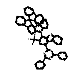 FC(F)(F)c1cc(-c2nc(-c3ccccc3)nc(-c3ccccc3)n2)c2c(oc3ccccc32)c1-n1c2ccccc2c2c3c(ccc21)-c1ccccc1C31c2ccccc2-c2ccccc21